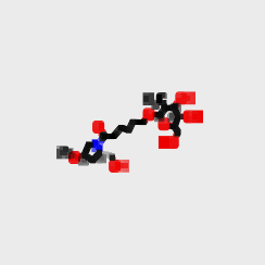 CC(C)O[C@@H]1C[C@@H](CO)N(C(=O)CCCCCO[C@@H]2OC(CO)[C@H](O)[C@H](O)C2C)C1